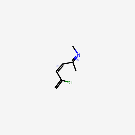 C=C(Cl)/C=C\C(C)=N/C